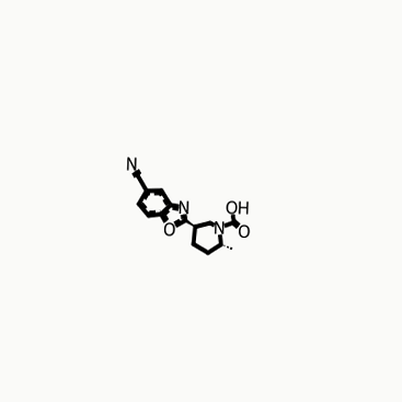 C[C@@H]1CC[C@@H](c2nc3cc(C#N)ccc3o2)CN1C(=O)O